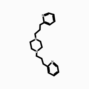 c1ccc(CCCN2CCN(CCCc3ccccn3)CC2)nc1